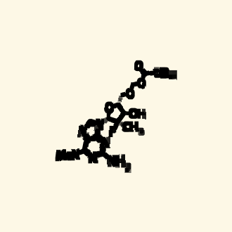 CNc1nc(N)nc2c1ncn2[C@@H]1O[C@H](COCOC(=O)C(C)(C)C)[C@@H](O)[C@@]1(C)F